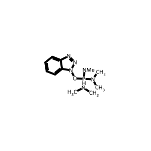 CN[PH](On1nnc2ccccc21)(N(C)C)N(C)C